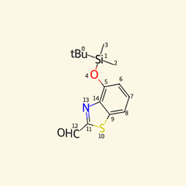 CC(C)(C)[Si](C)(C)Oc1cccc2sc(C=O)nc12